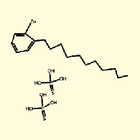 CCCCCCCCCCCc1cccc[c]1[Zn].OP(O)(O)=S.OP(O)(O)=S